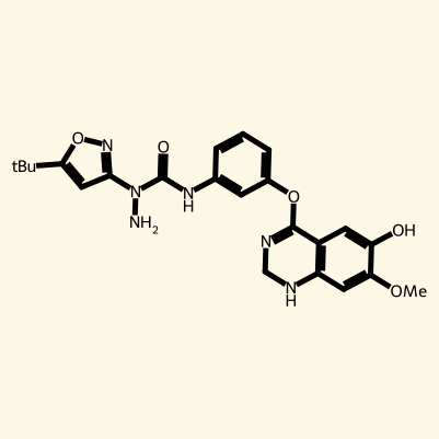 COc1cc2c(cc1O)C(Oc1cccc(NC(=O)N(N)c3cc(C(C)(C)C)on3)c1)=NCN2